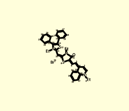 CCN1C=C/C(=C/C=c2/s/c(=C/c3sc(-c4ccccc4)c(-c4ccccc4)[n+]3CC)n(CC)c2=O)c2ccccc21.[Br-]